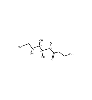 [CH2]CCC(=O)[C@@H](O)[C@@H](O)[C@H](O)[C@H](O)CO